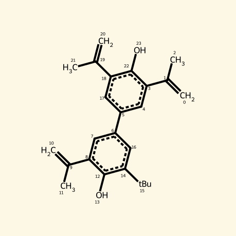 C=C(C)c1cc(-c2cc(C(=C)C)c(O)c(C(C)(C)C)c2)cc(C(=C)C)c1O